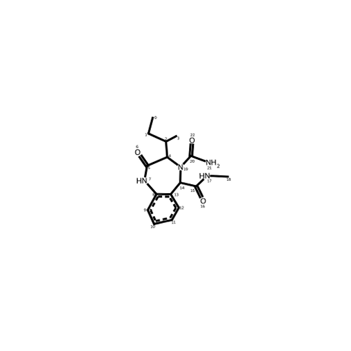 CCC(C)C1C(=O)Nc2ccccc2C(C(=O)NC)N1C(N)=O